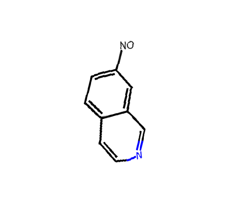 O=Nc1ccc2ccncc2c1